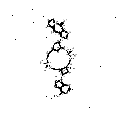 Nc1ncnc2c1ncn2[C@@H]1C[C@@H]2CO[P@@](=O)(S)O[C@@H]3C[C@@H](CO[P@](=O)(S)OC[C@H]21)O[C@H]3n1cnc2c(=O)n3ccnc3[nH]c21